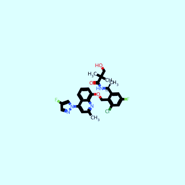 Cc1cc(-n2cc(F)cn2)c2cccc(OCc3c(Cl)cc(F)cc3[C@H](C)NC(=O)C(C)(C)CO)c2n1